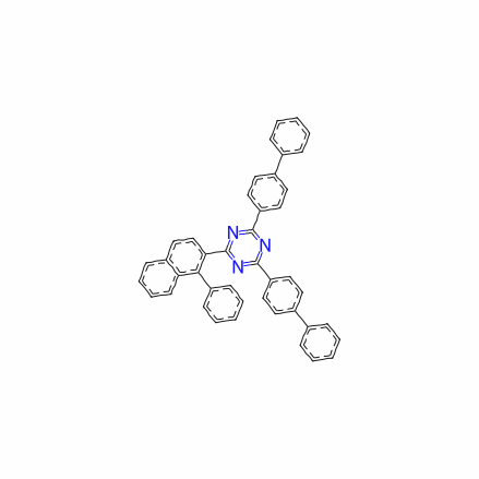 c1ccc(-c2ccc(-c3nc(-c4ccc(-c5ccccc5)cc4)nc(-c4ccc5ccccc5c4-c4ccccc4)n3)cc2)cc1